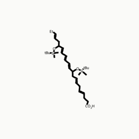 CCC=CCC(C=CC=CC=CC(CC=CCC=CCCC(=O)O)O[Si](C)(C)C(C)(C)C)O[Si](C)(C)C(C)(C)C